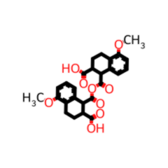 COc1cccc2c1CCC(C(=O)O)C2C(=O)OC(=O)C1c2cccc(OC)c2CCC1C(=O)O